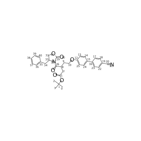 CC(C)(C)OC(=O)CC(CCOc1ccc(-c2ccc(C#N)cc2)cc1)C(=O)N1C(=O)OCC1Cc1ccccc1